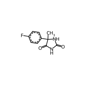 CC1(c2ccc(F)cc2)NC(=O)NC1=O